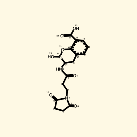 O=C(CCN1C(=O)CCC1=O)NC1Cc2cccc(C(=O)O)c2OB1O